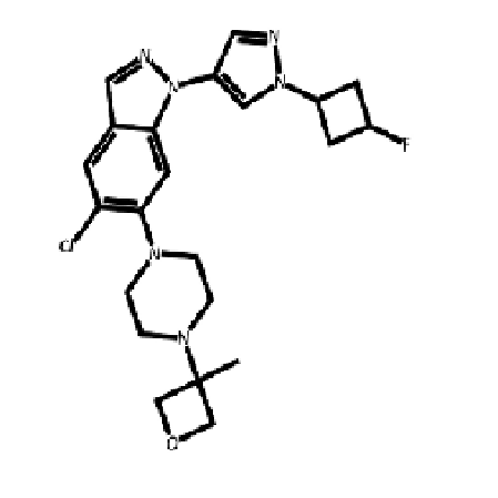 CC1(N2CCN(c3cc4c(cnn4-c4cnn(C5CC(F)C5)c4)cc3Cl)CC2)COC1